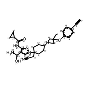 C#Cc1ccc(OC2(C)CN(C3CCC(CC#N)(n4cc(C(N)O)c(NC(=O)C5CC5)n4)CC3)C2)cc1